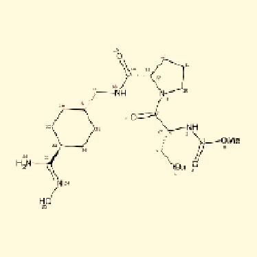 COC(=O)N[C@H](CC(C)(C)C)C(=O)N1CCC[C@H]1C(=O)NC[C@H]1CC[C@H](C(N)=NO)CC1